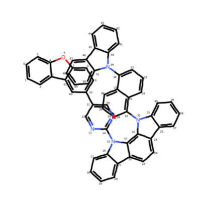 c1ccc2c(c1)oc1ccc(-c3cnc(-n4c5ccccc5c5ccc6c7ccccc7n(-c7cccc8c(-n9c%10ccccc%10c%10ccccc%109)cccc78)c6c54)nc3)cc12